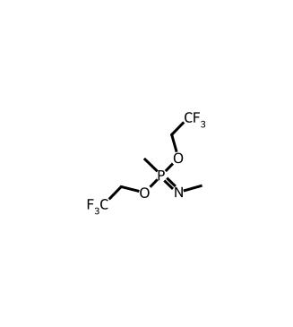 CN=P(C)(OCC(F)(F)F)OCC(F)(F)F